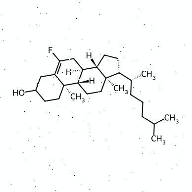 CC(C)CCC[C@@H](C)[C@H]1CC[C@H]2[C@@H]3CC(F)=C4CC(O)CC[C@]4(C)[C@H]3CC[C@]12C